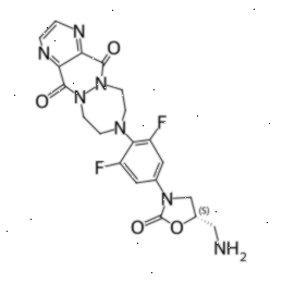 NC[C@H]1CN(c2cc(F)c(N3CCn4c(=O)c5nccnc5c(=O)n4CC3)c(F)c2)C(=O)O1